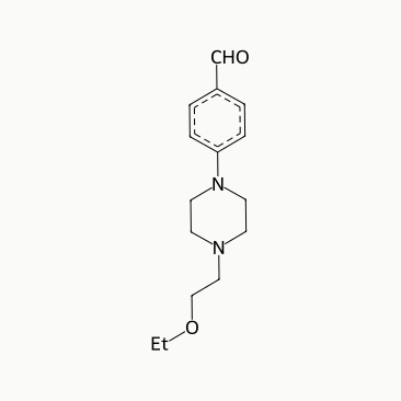 CCOCCN1CCN(c2ccc(C=O)cc2)CC1